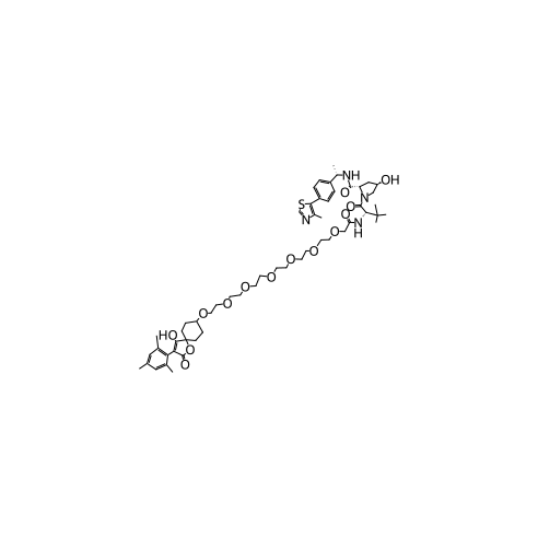 Cc1cc(C)c(C2=C(O)C3(CCC(OCCOCCOCCOCCOCCOCCOCC(=O)N[C@H](C(=O)N4C[C@H](O)C[C@H]4C(=O)N[C@@H](C)c4ccc(-c5scnc5C)cc4)C(C)(C)C)CC3)OC2=O)c(C)c1